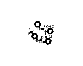 Oc1c(Cl)cccc1NC(=S)NC1CCCCC1.Oc1c(Cl)cccc1NC(=S)Nc1ccc(C(F)(F)F)cc1